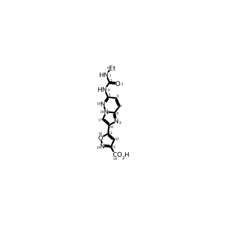 CCNC(=O)Nc1ccc2nc(-c3cc(C(=O)O)no3)cn2n1